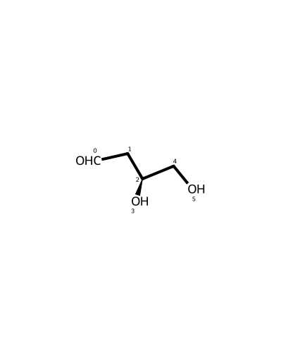 O=CC[C@H](O)CO